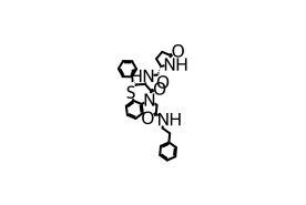 O=C(CN1C(=O)[C@H](NC(=O)[C@@H]2CCC(=O)N2)[C@@H](c2ccccc2)Sc2ccccc21)NCCc1ccccc1